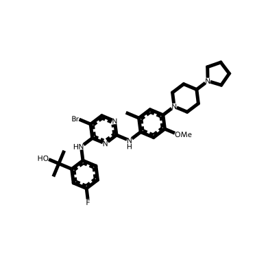 COc1cc(Nc2ncc(Br)c(Nc3ccc(F)cc3C(C)(C)O)n2)c(C)cc1N1CCC(N2CCCC2)CC1